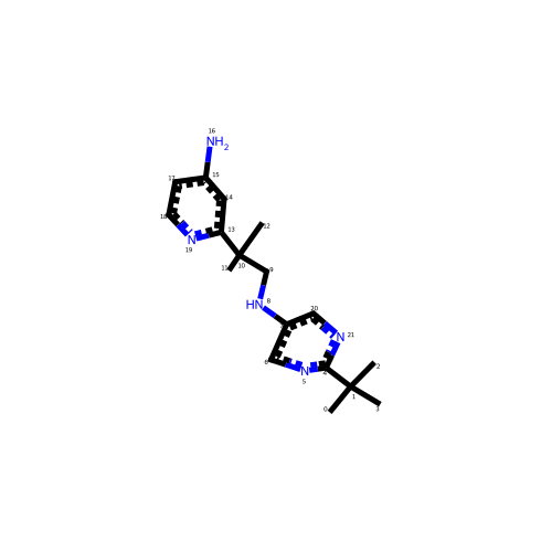 CC(C)(C)c1ncc(NCC(C)(C)c2cc(N)ccn2)cn1